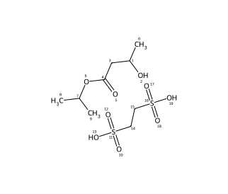 CC(O)CC(=O)OC(C)C.O=S(=O)(O)CCS(=O)(=O)O